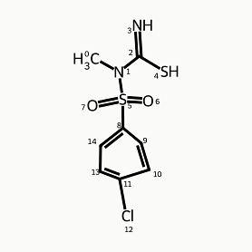 CN(C(=N)S)S(=O)(=O)c1ccc(Cl)cc1